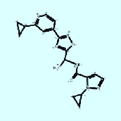 CC(NC(=O)c1ccnn1C1CC1)c1nc(-c2ccnc(C3CC3)c2)no1